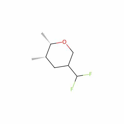 C[C@@H]1OCC(C(F)F)C[C@@H]1C